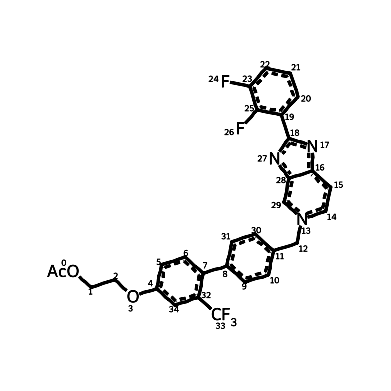 CC(=O)OCCOc1ccc(-c2ccc(Cn3ccc4nc(-c5cccc(F)c5F)nc-4c3)cc2)c(C(F)(F)F)c1